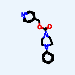 O=C(OCc1ccncc1)N1CCN(c2ccccc2)CC1